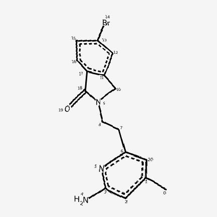 Cc1cc(N)nc(CCN2Cc3cc(Br)ccc3C2=O)c1